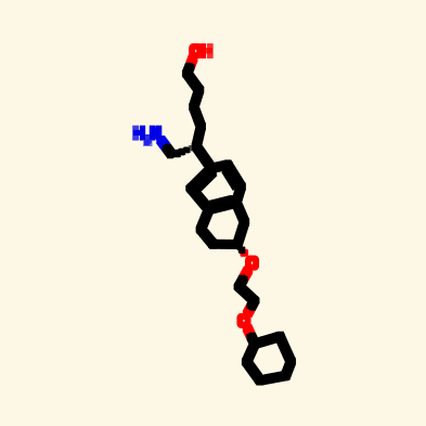 NC[C@H](CCCCO)c1ccc2c(c1)CC[C@@H](OCCOC1CCCCC1)C2